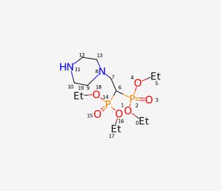 CCOP(=O)(OCC)C(CN1CCNCC1)P(=O)(OCC)OCC